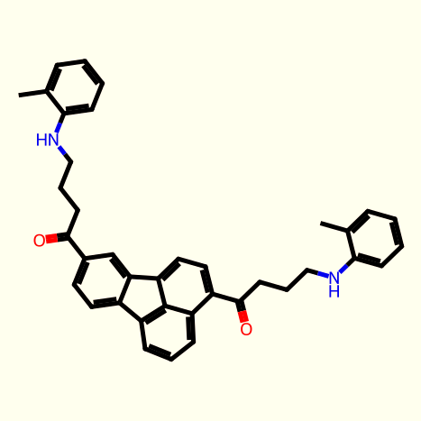 Cc1ccccc1NCCCC(=O)c1ccc2c(c1)-c1ccc(C(=O)CCCNc3ccccc3C)c3cccc-2c13